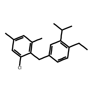 CCc1ccc(Cc2c(C)cc(C)cc2Cl)cc1C(C)C